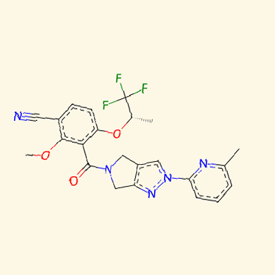 COc1c(C#N)ccc(O[C@@H](C)C(F)(F)F)c1C(=O)N1Cc2cn(-c3cccc(C)n3)nc2C1